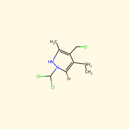 C[SiH2]C1=C(Br)N(C(Cl)Cl)NC(C)=C1CCl